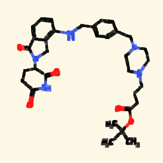 CC(C)(C)OC(=O)CCCN1CCN(Cc2ccc(CNc3cccc4c3CN(C3CCC(=O)NC3=O)C4=O)cc2)CC1